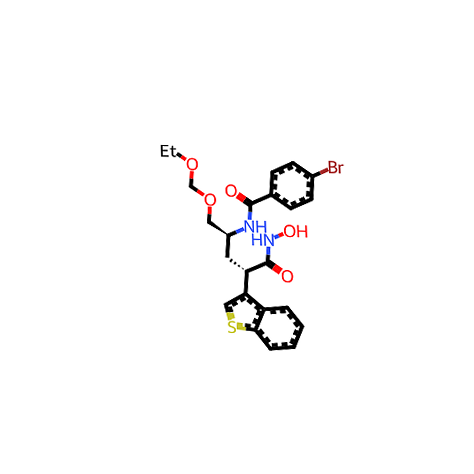 CCOCOC[C@H](C[C@H](C(=O)NO)c1csc2ccccc12)NC(=O)c1ccc(Br)cc1